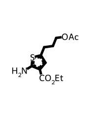 CCOC(=O)c1cc(CCCOC(C)=O)sc1N